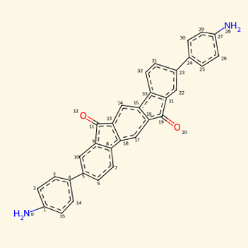 Nc1ccc(-c2ccc3c(c2)c(=O)c2cc4c(cc23)c(=O)c2cc(-c3ccc(N)cc3)ccc24)cc1